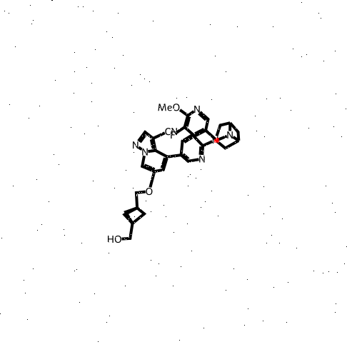 COc1ncc(CN2C3CC2CN(c2ccc(-c4cc(OCC56CC(CO)(C5)C6)cn5ncc(C#N)c45)cn2)C3)cc1F